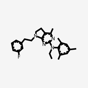 CCN(c1nc(C)c2c(n1)N(CCc1cccc(F)c1)CC2)c1c(C)cc(C)cc1C